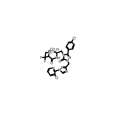 O=C(NC(Cn1c(-c2ccc(Cl)cc2)nn(Cc2ncn(-c3ncccc3Cl)n2)c1=O)C(F)(F)F)C1N(C(=O)O)CC1(F)F